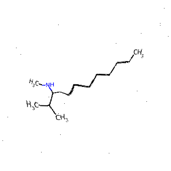 CCCCCCCCC(NC)C(C)C